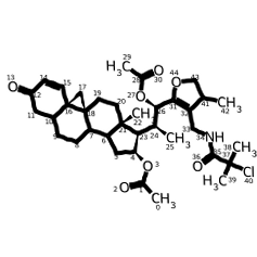 CC(=O)O[C@H]1CC2C3CCC4CC(=O)C=C[C@@]45C[C@@]35CC[C@]2(C)[C@H]1[C@H](C)[C@@H](OC(C)=O)C1=C(CNC(=O)C(C)(C)Cl)C(C)CO1